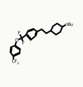 CCCCC1CCC(CCc2ccc(C(F)(F)Oc3ccc(C(F)(F)F)cc3)cc2)CC1